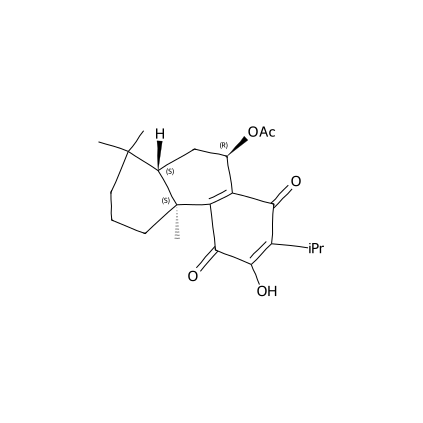 CC(=O)O[C@@H]1C[C@H]2C(C)(C)CCC[C@]2(C)C2=C1C(=O)C(C(C)C)=C(O)C2=O